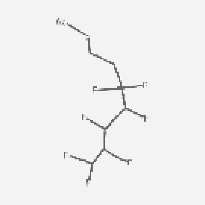 CC(=O)SCCC(F)(F)C(F)C(F)C(F)C(F)F